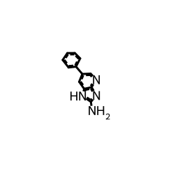 Nc1nc2ncc(-c3ccccc3)cc2[nH]1